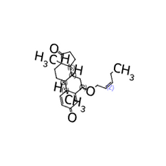 CC/C=C\CO[C@@H]1C[C@H]2[C@@H]3CCC(=O)C3(C)CC[C@@H]2[C@@]2(C)C=CC(=O)C=C12